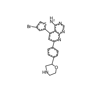 Nc1ncnc2nc(-c3ccc(C4CNCCO4)cc3)cc(-c3cc(Br)cs3)c12